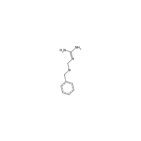 NC(N)=NC[N]Cc1ccccc1